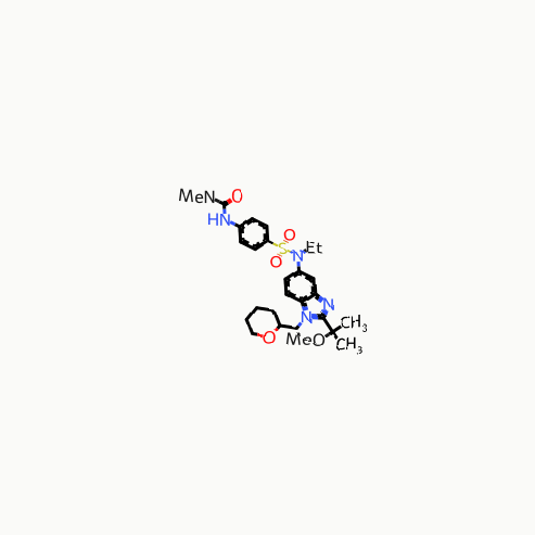 CCN(c1ccc2c(c1)nc(C(C)(C)OC)n2CC1CCCCO1)S(=O)(=O)c1ccc(NC(=O)NC)cc1